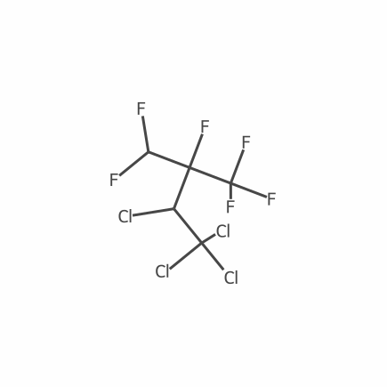 FC(F)C(F)(C(Cl)C(Cl)(Cl)Cl)C(F)(F)F